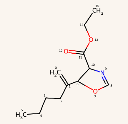 C=C(CCCC)C1OC=NC1C(=O)OCC